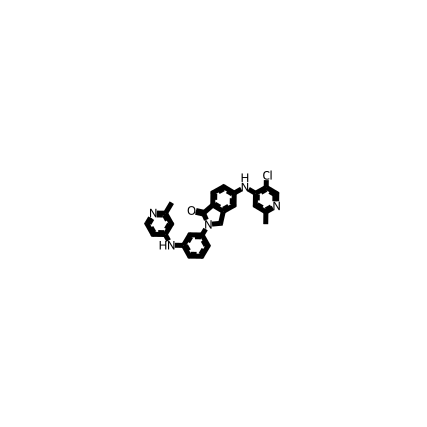 Cc1cc(Nc2cccc(N3Cc4cc(Nc5cc(C)ncc5Cl)ccc4C3=O)c2)ccn1